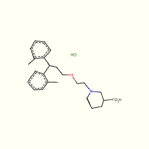 Cc1ccccc1C(CCOCCN1CCCC(C(=O)O)C1)c1ccccc1C.Cl